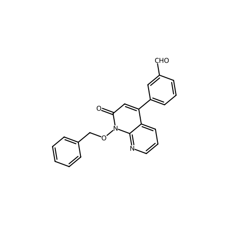 O=Cc1cccc(-c2cc(=O)n(OCc3ccccc3)c3ncccc23)c1